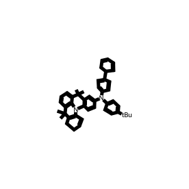 CC(C)(C)c1ccc(N(c2ccc(C3C=CC=CC3)cc2)c2ccc3c(c2)C(C)(C)c2cccc4c2N3C2=C(CCC=C2)C4(C)C)cc1